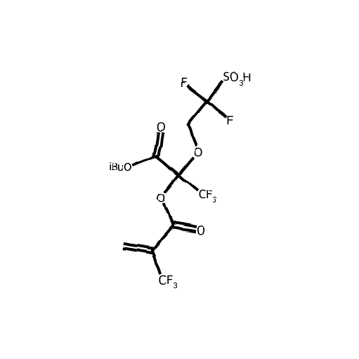 C=C(C(=O)OC(OCC(F)(F)S(=O)(=O)O)(C(=O)OCC(C)C)C(F)(F)F)C(F)(F)F